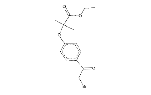 CCOC(=O)C(C)(C)Oc1ccc(C(=O)CBr)cc1